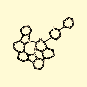 c1ccc(-c2ccc(-c3nc(-n4c5ccccc5c5ccc6ccc7c8ccccc8sc7c6c54)nc4ccccc34)cn2)cc1